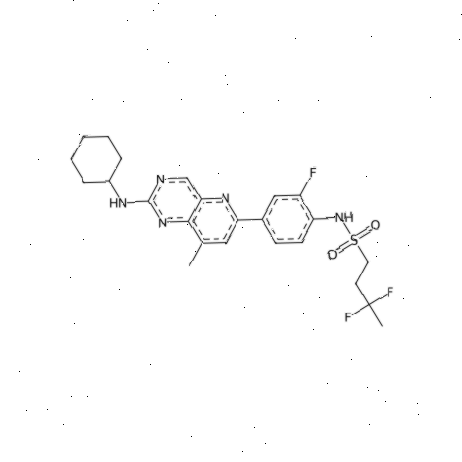 Cc1cc(-c2ccc(NS(=O)(=O)CCC(C)(F)F)c(F)c2)nc2cnc(NC3CCCCC3)nc12